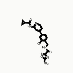 CC(C)(C)c1nc(C(=O)NCc2ccc(-c3ccnc(NC(=O)C4CC4)c3)cc2Cl)no1